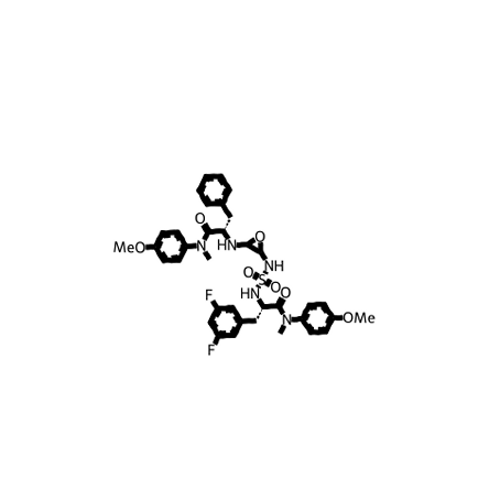 COc1ccc(N(C)C(=O)[C@H](Cc2ccccc2)NC2OC2NS(=O)(=O)N[C@@H](Cc2cc(F)cc(F)c2)C(=O)N(C)c2ccc(OC)cc2)cc1